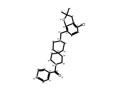 CC1(C)Cc2c(Cl)ccc(CN3CCC4(CC3)CCN(C(=O)c3ccncc3)CC4)c2O1